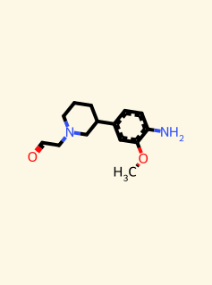 COc1cc(C2CCCN(CC=O)C2)ccc1N